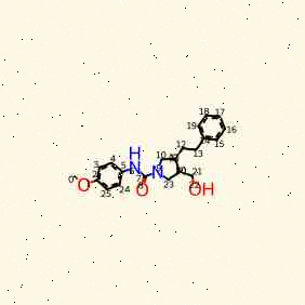 COc1ccc(NC(=O)N2C[C@@H](CCc3ccccc3)[C@@H](CO)C2)cc1